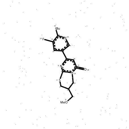 COCC1CSc2nc(-c3cnc(C(C)(C)C)c(F)c3)cc(=O)n2C1